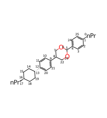 CCCc1ccc(C2OCC(c3ccc([C@H]4CC[C@H](CCC)CC4)cc3)CO2)cc1